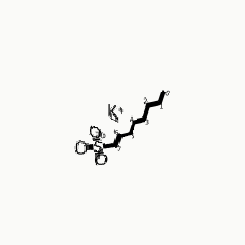 CCCCCC[CH]CS(=O)(=O)[O-].[K+]